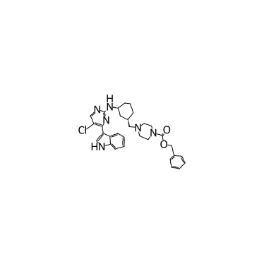 O=C(OCc1ccccc1)N1CCN(C[C@@H]2CCC[C@H](Nc3ncc(Cl)c(-c4c[nH]c5ccccc45)n3)C2)CC1